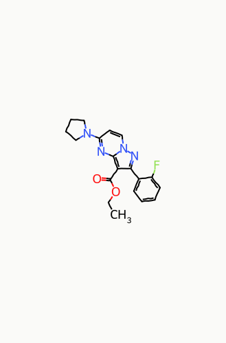 CCOC(=O)c1c(-c2ccccc2F)nn2ccc(N3CCCC3)nc12